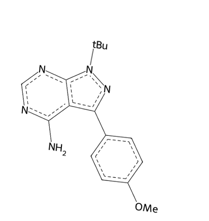 COc1ccc(-c2nn(C(C)(C)C)c3ncnc(N)c23)cc1